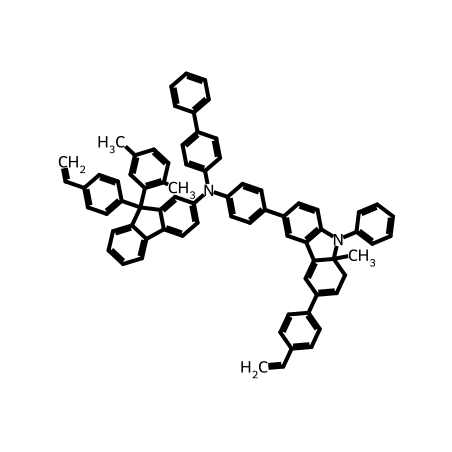 C=Cc1ccc(C2=CCC3(C)C(=C2)c2cc(-c4ccc(N(c5ccc(-c6ccccc6)cc5)c5ccc6c(c5)C(c5ccc(C=C)cc5)(c5cc(C)ccc5C)c5ccccc5-6)cc4)ccc2N3c2ccccc2)cc1